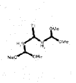 CCC([SiH2]C(OC)OC)[SiH2]C(OC)OC